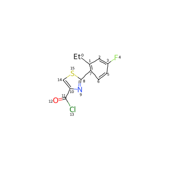 CCc1cc(F)ccc1-c1nc(C(=O)Cl)cs1